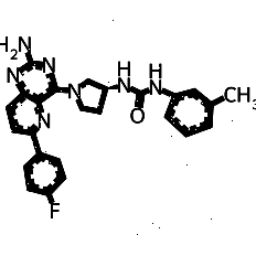 Cc1cccc(NC(=O)N[C@H]2CCN(c3nc(N)nc4ccc(-c5ccc(F)cc5)nc34)C2)c1